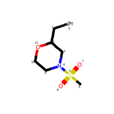 CC(C)CC1CN(S(C)(=O)=O)CCO1